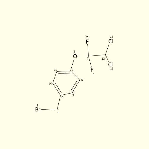 FC(F)(Oc1ccc(CBr)cc1)C(Cl)Cl